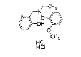 CCN(Cc1ncccc1O)Oc1ccccc1OC.Cl.Cl